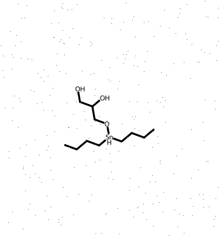 CCC[CH2][SnH]([CH2]CCC)[O]CC(O)CO